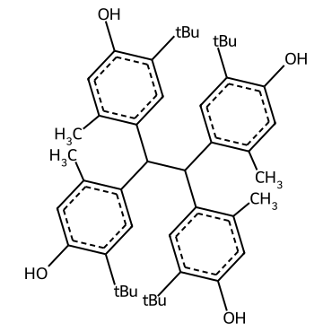 Cc1cc(O)c(C(C)(C)C)cc1C(c1cc(C(C)(C)C)c(O)cc1C)C(c1cc(C(C)(C)C)c(O)cc1C)c1cc(C(C)(C)C)c(O)cc1C